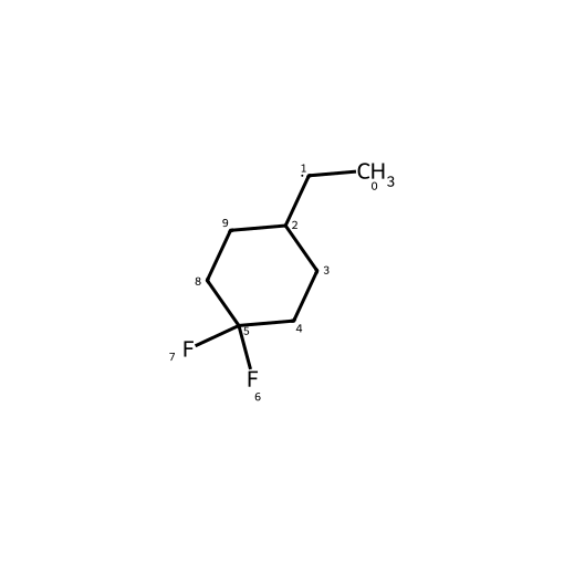 C[CH]C1CCC(F)(F)CC1